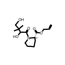 C=CCOC(=O)[C@@H]1CCCCN1C(=O)C(O)C(C)(C)CO